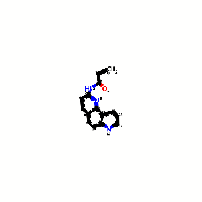 C=CC(=O)Nc1ccc2ccc3ncccc3c2n1